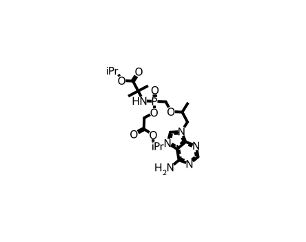 CC(C)OC(=O)COP(=O)(COC(C)Cn1cnc2c(N)ncnc21)NC(C)(C)C(=O)OC(C)C